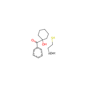 CCCCCCCCCCCCS.O=C(c1ccccc1)C1(O)CCCCC1